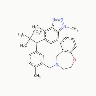 Cc1ccc(C(c2ccc3c(nnn3C)c2C)C(C)(C)C(=O)O)cc1CN1CCOc2ccccc2C1